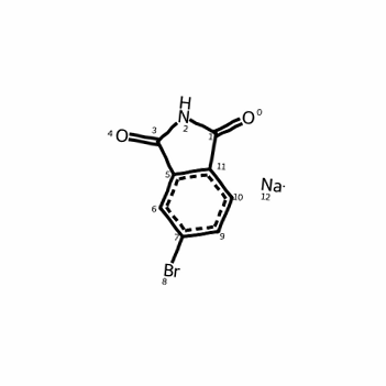 O=C1NC(=O)c2cc(Br)ccc21.[Na]